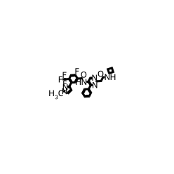 Cn1ccc(-c2cc(C(=O)Nc3cnc(CC(=O)NC4CCC4)nc3-c3ccccc3)c(F)cc2C(F)(F)F)n1